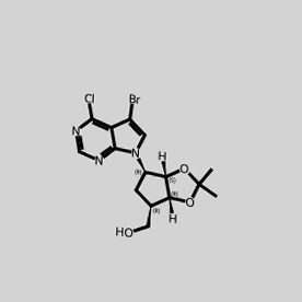 CC1(C)O[C@@H]2[C@@H](CO)C[C@@H](n3cc(Br)c4c(Cl)ncnc43)[C@@H]2O1